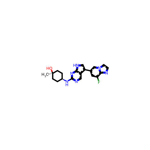 C[C@]1(O)CC[C@@H](Nc2ncc3c(-c4cc(F)c5nccn5c4)c[nH]c3n2)CC1